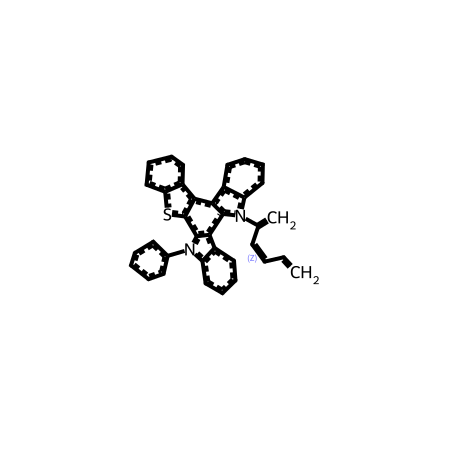 C=C/C=C\C(=C)n1c2ccccc2c2c3c4ccccc4sc3c3c(c4ccccc4n3-c3ccccc3)c21